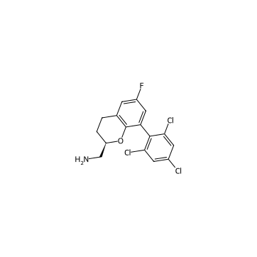 NC[C@H]1CCc2cc(F)cc(-c3c(Cl)cc(Cl)cc3Cl)c2O1